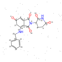 O=C1C=C2C(=O)N(C3CCC(=O)NC3=O)C(=O)C2=C(NCc2ccccc2)C1